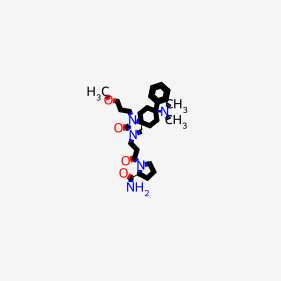 COCCCN1C(=O)N(CCC(=O)N2CCC[C@@H]2C(N)=O)C[C@]12CC[C@](c1ccccc1)(N(C)C)CC2